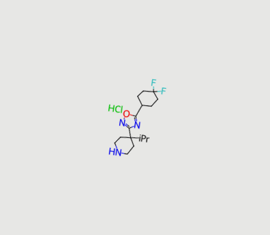 CC(C)C1(c2noc(C3CCC(F)(F)CC3)n2)CCNCC1.Cl